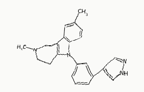 Cc1ccc2c(c1)c1c(n2-c2cccc(-c3cn[nH]c3)c2)CCN(C)C1